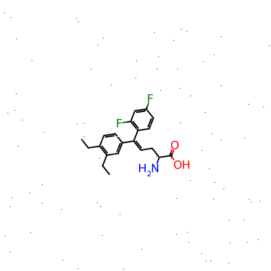 CCc1ccc(C(=CCC(N)C(=O)O)c2ccc(F)cc2F)cc1CC